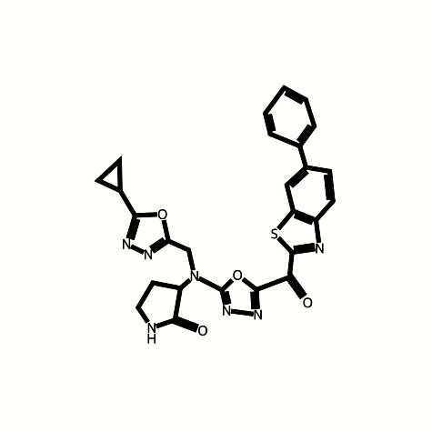 O=C(c1nnc(N(Cc2nnc(C3CC3)o2)C2CCNC2=O)o1)c1nc2ccc(-c3ccccc3)cc2s1